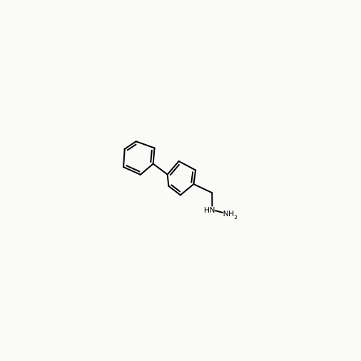 NNCc1ccc(-c2ccccc2)cc1